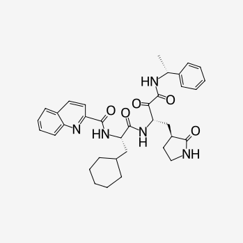 C[C@@H](NC(=O)C(=O)[C@H](C[C@@H]1CCNC1=O)NC(=O)[C@H](CC1CCCCC1)NC(=O)c1ccc2ccccc2n1)c1ccccc1